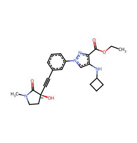 CCOC(=O)c1nn(-c2cccc(C#C[C@]3(O)CCN(C)C3=O)c2)cc1NC1CCC1